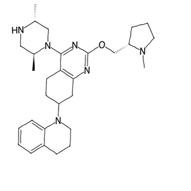 C[C@@H]1CN(c2nc(OC[C@@H]3CCCN3C)nc3c2CCC(N2CCCc4ccccc42)C3)[C@@H](C)CN1